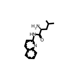 CC(C)C[C@H](N)C(=O)Nc1ccc2ccccc2n1